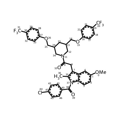 COc1ccc2c(c1)c(CC(=O)N1CC(COc3ccc(C(F)(F)F)cc3)CC(COc3ccc(C(F)(F)F)cc3)C1)c(C)n2C(=O)c1ccc(Cl)cc1